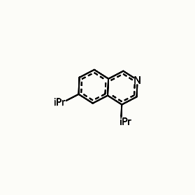 CC(C)c1ccc2cncc(C(C)C)c2c1